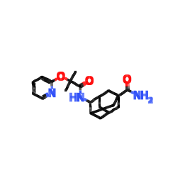 CC(C)(Oc1ccccn1)C(=O)NC1C2CC3CC1CC(C(N)=O)(C3)C2